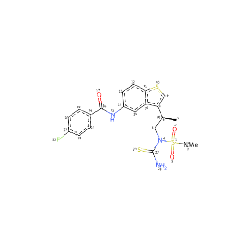 CNS(=O)(=O)N(C[C@H](C)c1csc2ccc(NC(=O)c3ccc(F)cc3)cc12)C(N)=S